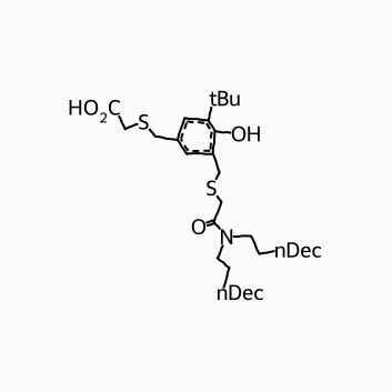 CCCCCCCCCCCCN(CCCCCCCCCCCC)C(=O)CSCc1cc(CSCC(=O)O)cc(C(C)(C)C)c1O